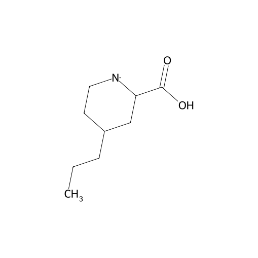 CCCC1CC[N]C(C(=O)O)C1